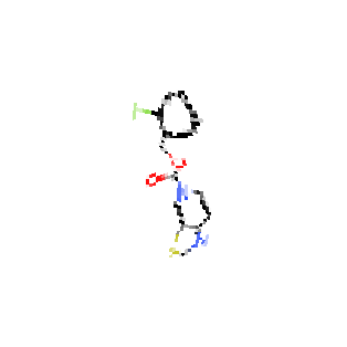 O=C(OCc1ccccc1F)N1C=CC2=NCSC2=C1